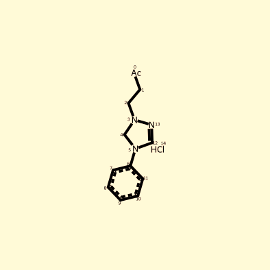 CC(=O)CCN1CN(c2ccccc2)C=N1.Cl